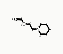 O=CO[CH]CN1CCCCC1